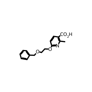 Cc1nc(OCCOCc2ccccc2)ccc1C(=O)O